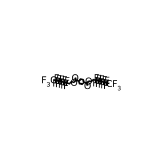 O=C(OCCC(F)(F)C(F)(F)C(F)(F)C(F)(F)C(F)(F)C(F)(F)F)c1ccc(C(=O)OCCC(F)(F)C(F)(F)C(F)(F)C(F)(F)C(F)(F)C(F)(F)F)cc1